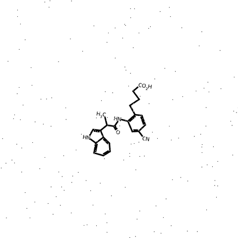 CC(C(=O)Nc1cc(C#N)ccc1CCCC(=O)O)c1c[nH]c2ccccc12